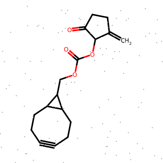 C=C1CCC(=O)C1OC(=O)OCC1C2CCC#CCCC21